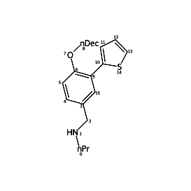 [CH2]CCNCc1ccc(OCCCCCCCCCC)c(-c2cccs2)c1